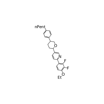 CCCCCc1ccc(C2CCC(c3ccc(-c4ccc(OCC)c(F)c4F)nc3)OC2)cc1